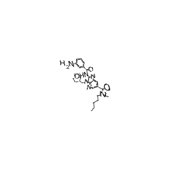 CCCCCN(C)C(=O)c1cnc2c(c1)nc(NC(=O)c1cccc(N)c1)n2CC1CCOC1